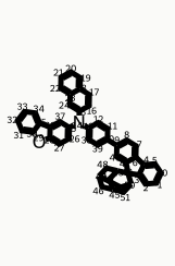 c1ccc2c(c1)-c1ccc(-c3ccc(N(c4ccc5ccccc5c4)c4ccc5oc6ccccc6c5c4)cc3)cc1C21C2CC3CC(C2)CC1C3